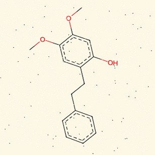 COc1cc(O)c(CCc2ccccc2)cc1OC